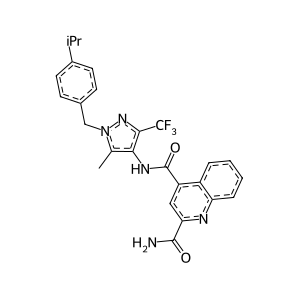 Cc1c(NC(=O)c2cc(C(N)=O)nc3ccccc23)c(C(F)(F)F)nn1Cc1ccc(C(C)C)cc1